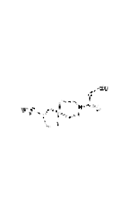 CC(C)(C)OC(=O)N1CCC2(CCC(C(F)(F)F)C2)CC1